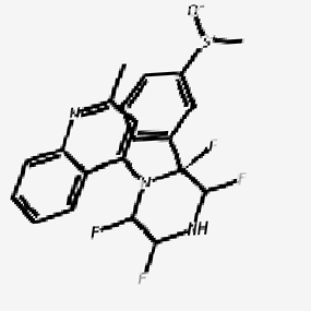 Cc1cc(N2C(F)C(F)NC(F)[C@@]2(F)c2cccc([S+](C)[O-])c2)c2ccccc2n1